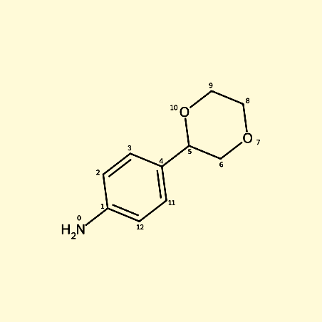 Nc1ccc(C2COCCO2)cc1